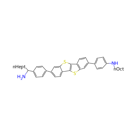 CCCCCCCCNc1ccc(-c2ccc3c(c2)sc2c4ccc(-c5ccc(C(N)CCCCCCC)cc5)cc4sc32)cc1